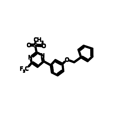 CS(=O)(=O)c1nc(-c2cccc(OCc3ccccc3)c2)cc(C(F)(F)F)n1